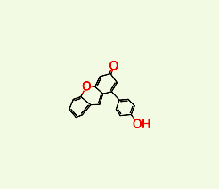 O=c1cc2oc3ccccc3cc-2c(-c2ccc(O)cc2)c1